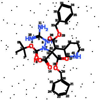 CC(C)(C)OC(=O)N(NC(=N)N)[C@@](C(=O)O)(C(=O)OCc1ccccc1)C(C(=O)OCc1ccccc1)C1CCCNC1